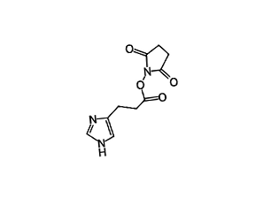 O=C(CCc1c[nH]cn1)ON1C(=O)CCC1=O